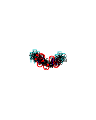 O=C(c1ccc2c(c1)C(=O)N(OC(=O)c1c(F)c(F)c(F)c(F)c1F)C2=O)c1ccc2c(c1)C(=O)N(OC(=O)c1c(F)c(F)c(F)c(F)c1F)C2=O